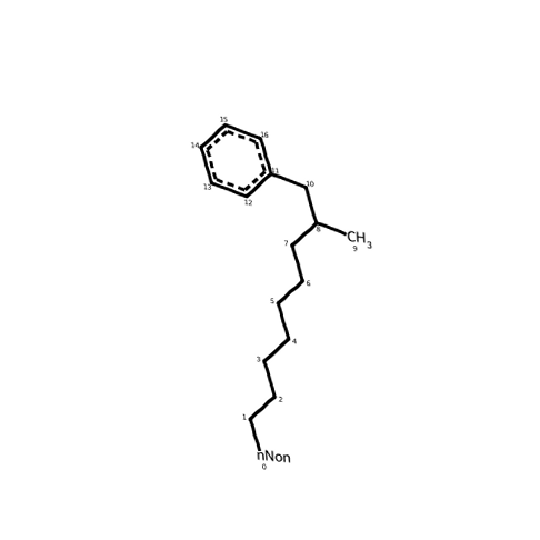 CCCCCCCCCCCCCCCCC(C)Cc1ccccc1